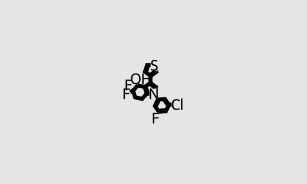 OC1c2c(-c3ccsc3)cn(-c3cc(F)cc(Cl)c3)c2CCC1(F)F